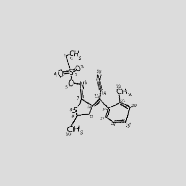 CCS(=O)(=O)O/N=C1\SC(C)C\C1=C(\C#N)c1ccccc1C